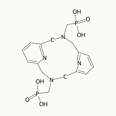 O=P(O)(O)CN1Cc2cccc(n2)CN(CP(=O)(O)O)Cc2cccc(n2)C1